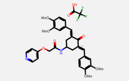 COc1ccc(/C=C2\CC(NC(=O)COc3ccncc3)C/C(=C\c3ccc(OC)c(OC)c3)C2=O)cc1OC.O=C(O)C(F)(F)F